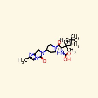 Cc1cn2c(n1)CN(C1CCN(C(=O)[C@H](NC(=O)O)C(C)(C)CC(C)(C)C)CC1)C2=O